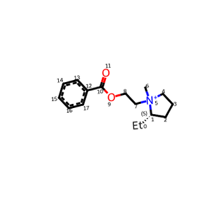 CC[C@H]1CCC[N+]1(C)CCOC(=O)c1ccccc1